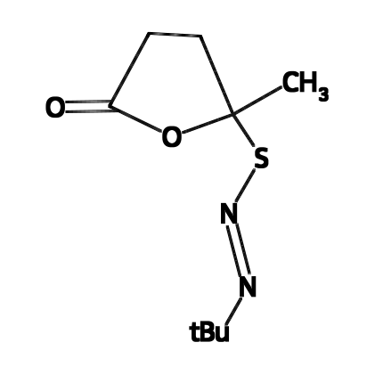 CC(C)(C)N=NSC1(C)CCC(=O)O1